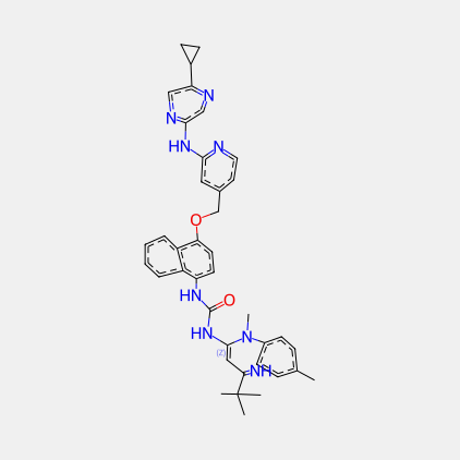 Cc1ccc(N(C)/C(=C\C(=N)C(C)(C)C)NC(=O)Nc2ccc(OCc3ccnc(Nc4cnc(C5CC5)cn4)c3)c3ccccc23)cc1